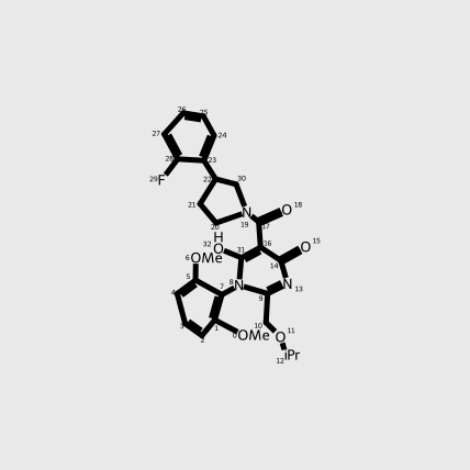 COc1cccc(OC)c1-n1c(COC(C)C)nc(=O)c(C(=O)N2CCC(c3ccccc3F)C2)c1O